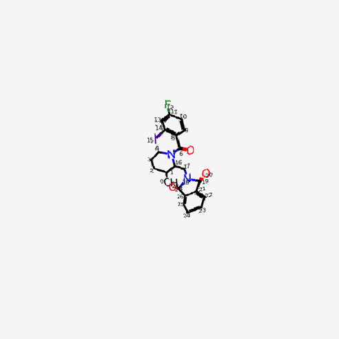 CC1CCCN(C(=O)c2ccc(F)cc2I)C1CN1C(=O)c2ccccc2C1=O